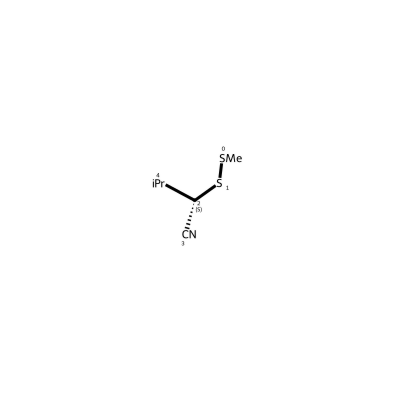 CSS[C@H](C#N)C(C)C